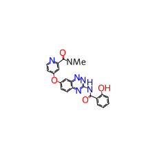 CNC(=O)c1cc(Oc2ccc3nc(NC(=O)c4ccccc4O)nnc3c2)ccn1